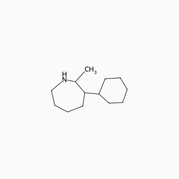 CC1NCCCCC1C1CCCCC1